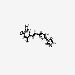 Cc1cc(=O)[nH]nc1/C=C/c1ccc(-n2ccnc2)s1